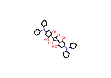 O=C1C(=C2C(O)=CC(N(c3ccccc3)c3ccccc3)C=C2O)C(O)=C1c1c(O)cc(N(c2ccccc2)c2ccccc2)cc1O